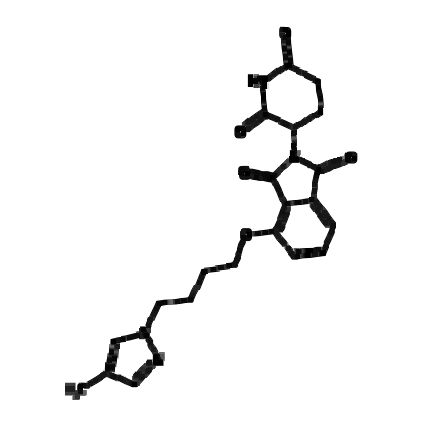 Cc1cnn(CCCCOc2cccc3c2C(=O)N(C2CCC(=O)NC2=O)C3=O)c1